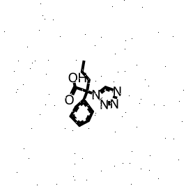 CCCC(C(=O)O)(c1ccccc1)n1cnnn1